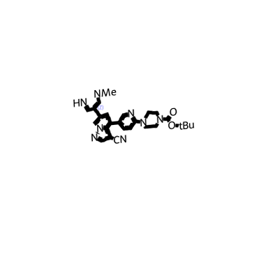 CN/C=C(\C=N)c1cc(-c2ccc(N3CCN(C(=O)OC(C)(C)C)CC3)nc2)c2c(C#N)cnn2c1